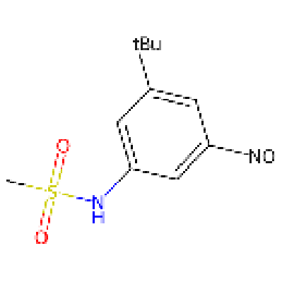 CC(C)(C)c1cc(N=O)cc(NS(C)(=O)=O)c1